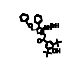 Br.CC(C)(C)c1cc(C(=O)CN2C[C@H](COCc3ccccc3)[C@@H](c3ccccc3)C2=N)cc(C(C)(C)C)c1O